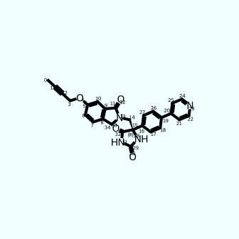 CC#CCOc1ccc2c(c1)C(=O)N(C[C@@]1(c3ccc(-c4ccncc4)cc3)NC(=O)NC1=O)C2